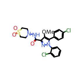 COc1c(C(=O)NN2CCS(=O)(=O)CC2)nn(-c2ccccc2Cl)c1-c1ccc(Cl)cc1